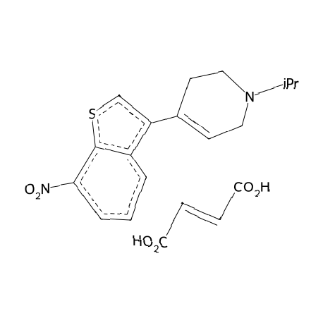 CC(C)N1CC=C(c2csc3c([N+](=O)[O-])cccc23)CC1.O=C(O)C=CC(=O)O